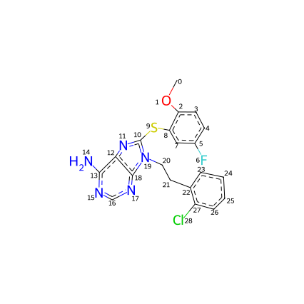 COc1ccc(F)cc1Sc1nc2c(N)ncnc2n1CCc1ccccc1Cl